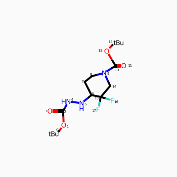 CC(C)(C)OC(=O)NNC1CCN(C(=O)OC(C)(C)C)CC1(F)F